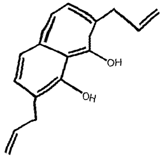 C=CCc1ccc2ccc(CC=C)c(O)c2c1O